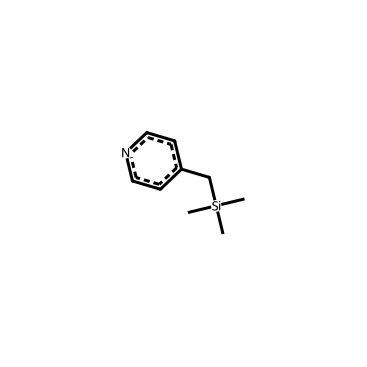 C[Si](C)(C)Cc1ccncc1